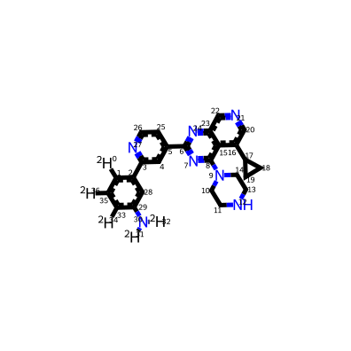 [2H]c1c(-c2cc(-c3nc(N4CCNCC4)c4c(C5CC5)cncc4n3)ccn2)cc(N([2H])[2H])c([2H])c1[2H]